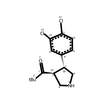 CC(C)(C)C(=O)[C@@H]1CNC[C@H]1c1ccc(Cl)c(Cl)c1